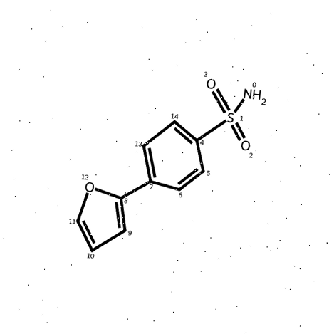 NS(=O)(=O)c1ccc(-c2ccco2)cc1